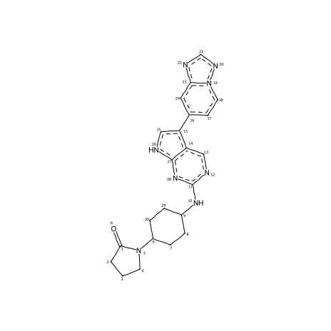 O=C1CCCN1C1CCC(Nc2ncc3c(-c4ccn5ncnc5c4)c[nH]c3n2)CC1